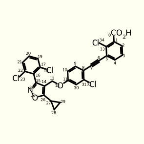 O=C(O)c1cccc(C#Cc2ccc(OCc3c(-c4c(Cl)cccc4Cl)noc3C3CC3)cc2Cl)c1Cl